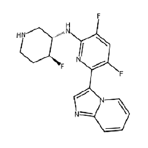 Fc1cc(F)c(-c2cnc3ccccn23)nc1N[C@H]1CNCC[C@@H]1F